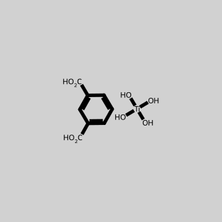 O=C(O)c1cccc(C(=O)O)c1.[OH][Ti]([OH])([OH])[OH]